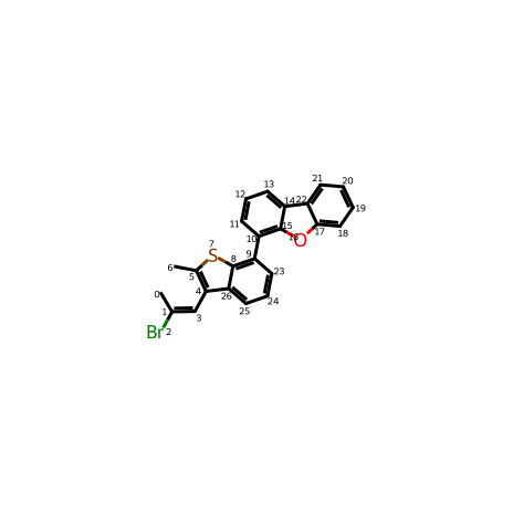 C/C(Br)=C\c1c(C)sc2c(-c3cccc4c3oc3ccccc34)cccc12